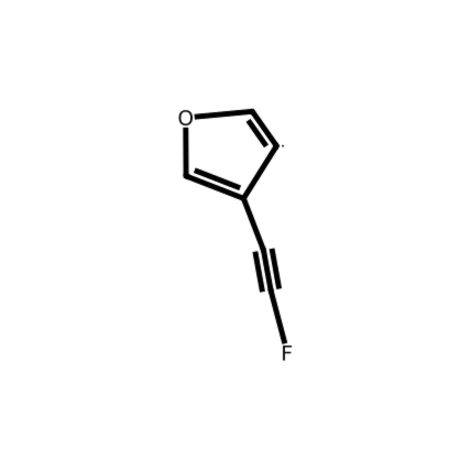 FC#Cc1[c]coc1